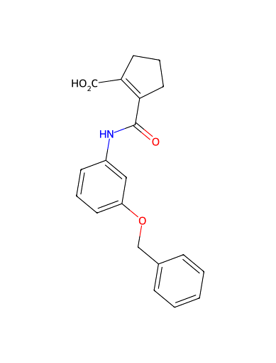 O=C(O)C1=C(C(=O)Nc2cccc(OCc3ccccc3)c2)CCC1